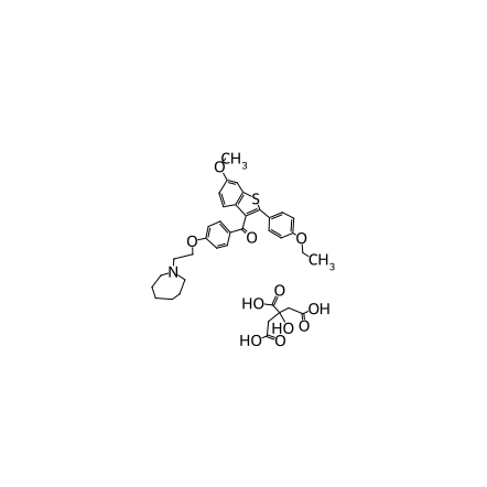 CCOc1ccc(-c2sc3cc(OC)ccc3c2C(=O)c2ccc(OCCN3CCCCCC3)cc2)cc1.O=C(O)CC(O)(CC(=O)O)C(=O)O